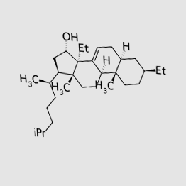 CC[C@H]1CC[C@@]2(C)[C@@H](CC=C3[C@@H]2CC[C@]2(C)[C@@H]([C@H](C)CCCC(C)C)C[C@H](O)[C@@]32CC)C1